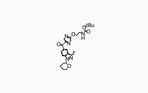 CC(C)(C)OC(=O)NCCOc1cnc(C(=O)c2ccc3c(c2)c(F)nn3C2CCCCO2)cn1